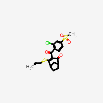 C=CCSC1=C(C(=O)c2ccc(S(C)(=O)=O)cc2Cl)C(=O)C2CCC1C2